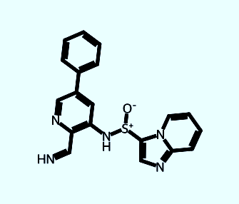 N=Cc1ncc(-c2ccccc2)cc1N[S+]([O-])c1cnc2ccccn12